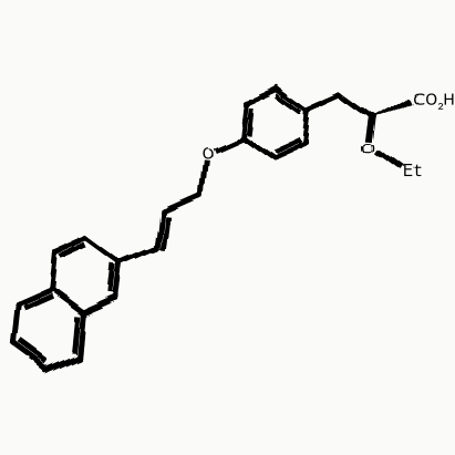 CCO[C@@H](Cc1ccc(OC/C=C/c2ccc3ccccc3c2)cc1)C(=O)O